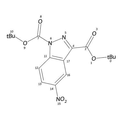 CC(C)(C)OC(=O)c1nn(C(=O)OC(C)(C)C)c2ccc([N+](=O)[O-])cc12